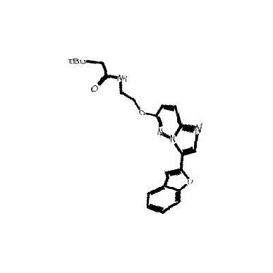 CC(C)(C)CC(=O)NCCOc1ccc2ncc(-c3cc4ccccc4o3)n2n1